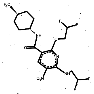 O=C(N[C@H]1CC[C@H](C(F)(F)F)CC1)c1cc([N+](=O)[O-])c(NCC(F)F)nc1OCC(F)F